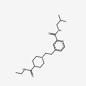 CCNC(=O)C1CCN(CCc2ccnc(C(=O)NCC(C)C)c2)CC1